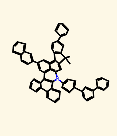 CC1(C)c2cc(-c3ccccc3)ccc2-c2ccc(N(c3ccc(-c4cccc(-c5ccccc5)c4)cc3)c3c(-c4cccc(-c5ccc6ccccc6c5)c4)c4ccccc4c4ccccc34)cc21